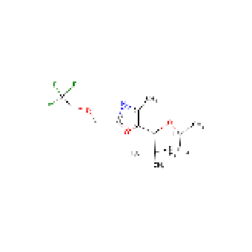 Cc1nc(COCC(F)(F)F)oc1C(O[SiH](C)C)C(C)(C)C